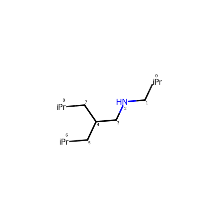 CC(C)CNCC(CC(C)C)CC(C)C